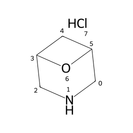 C1NCC2CC1O2.Cl